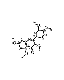 COc1cc2c(c(OC)c1)C(=O)C(OC)C(c1ccc(OC)c(OC)c1)=N2